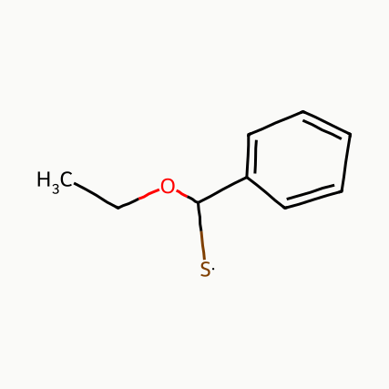 CCOC([S])c1ccccc1